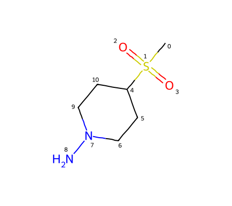 CS(=O)(=O)C1CCN(N)CC1